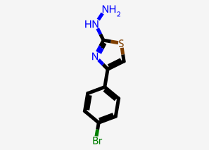 NNc1nc(-c2ccc(Br)cc2)cs1